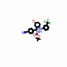 CC(C)(C)OC(=O)N[C@@H](C1=C(Nc2cccc(C(F)(F)F)c2)CCC(=O)C1)c1ccc(C#N)cc1